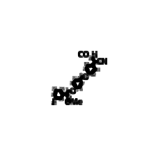 CON=C(COc1ccc(COc2ccc(C(C#N)CC(=O)O)cc2)cc1)c1cccc(F)c1